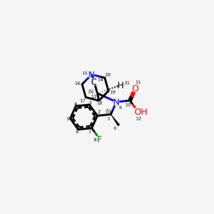 C[C@@H](c1ccccc1F)N(C(=O)O)[C@@H]1CN2CCC1CC2